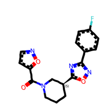 O=C(c1ccno1)N1CCC[C@H](c2nc(-c3ccc(F)cc3)no2)C1